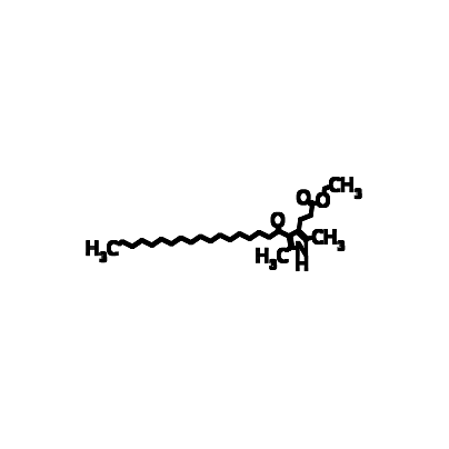 CCCCCCCCCCCCCCCCCC(=O)c1c(C)[nH]c(C)c1CCC(=O)OCC